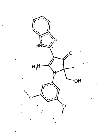 COc1cc(OC)cc(N2C(N)=C(c3nc4ccccc4[nH]3)C(=O)C2(C)CO)c1